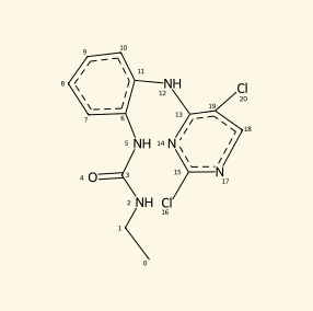 CCNC(=O)Nc1ccccc1Nc1nc(Cl)ncc1Cl